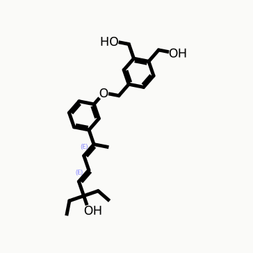 CCC(O)(/C=C/C=C(\C)c1cccc(OCc2ccc(CO)c(CO)c2)c1)CC